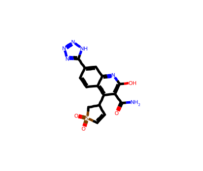 NC(=O)c1c(O)nc2cc(-c3nnn[nH]3)ccc2c1C1C=CS(=O)(=O)C1